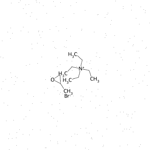 CC1CO1.CC[N+](CC)(CC)CC.[Br-]